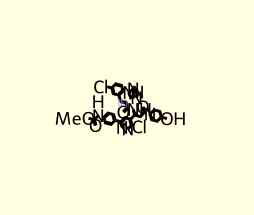 COC(=O)Nc1ccc(-c2cc(C(CC(=O)N3CCC(O)CC3)NC(=O)/C=C/c3cc(Cl)ccc3-n3cnnn3)c(Cl)nn2)cc1